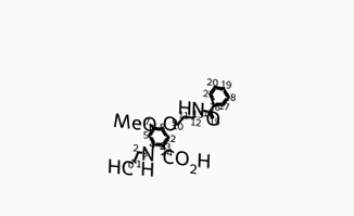 C#CCNc1cc(OC)c(OCCCNC(=O)c2ccccc2)cc1C(=O)O